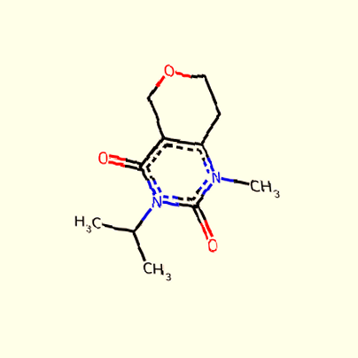 CC(C)n1c(=O)c2c(n(C)c1=O)CCOC2